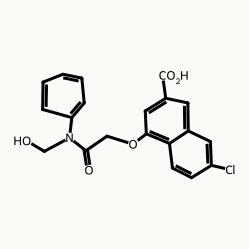 O=C(O)c1cc(OCC(=O)N(CO)c2ccccc2)c2ccc(Cl)cc2c1